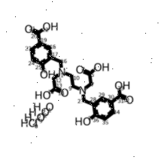 Cl.O.O.O.O=C(O)CN(CCN(CC(=O)O)Cc1cc(C(=O)O)ccc1O)Cc1cc(C(=O)O)ccc1O